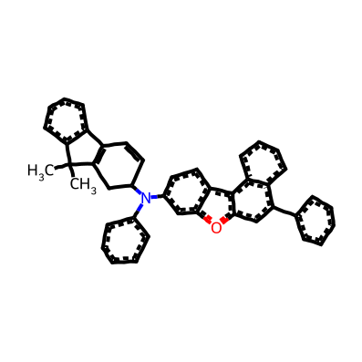 CC1(C)C2=C(C=CC(N(c3ccccc3)c3ccc4c(c3)oc3cc(-c5ccccc5)c5ccccc5c34)C2)c2ccccc21